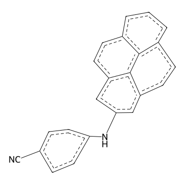 N#Cc1ccc(Nc2cc3ccc4cccc5ccc(c2)c3c45)cc1